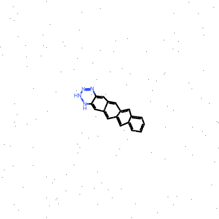 c1ccc2cc3cc4cc5c(cc4cc3cc2c1)N=NNN5